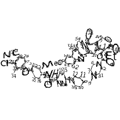 CC[C@@]1(OC(=O)N2CCN(CC3CCN(c4ccc(C(=O)NC5CCC(Oc6ccc(C#N)c(Cl)c6C)CC5)nn4)CC3)CC2)C(=O)OCc2c1cc1n(c2=O)Cc2cc3cc(OC)ccc3nc2-1